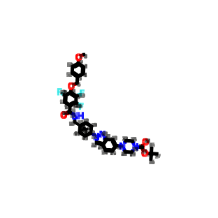 COc1ccc(COc2c(F)cc(C(=O)NC[C@]34CC[C@](n5cc6ccc(N7CCN(C(=O)OC(C)(C)C)CC7)cc6n5)(CC3)CC4)c(F)c2F)cc1